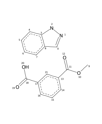 C1=N[N]c2ccccc21.COC(=O)c1cccc(C(=O)O)c1